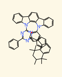 CC1CC(C)(C)c2c(-c3cccc(-n4c5ccccc5c5ccc6c7ccccc7n(-c7nc(-c8ccccc8)nc(-c8ccccc8)n7)c6c54)c3)cccc2C1(C)C